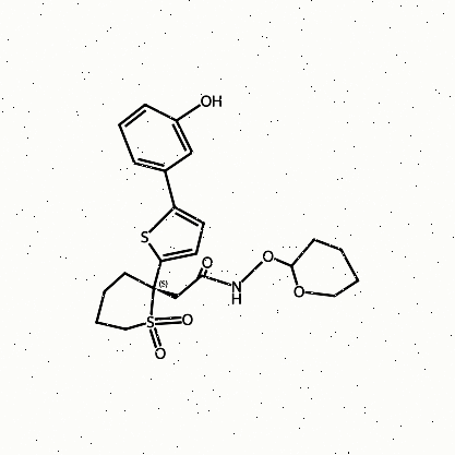 O=C(C[C@]1(c2ccc(-c3cccc(O)c3)s2)CCCCS1(=O)=O)NOC1CCCCO1